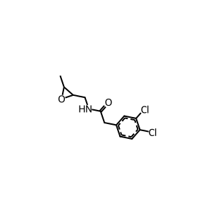 CC1OC1CNC(=O)Cc1ccc(Cl)c(Cl)c1